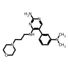 CN(C)c1cccc(-c2cnc(N)nc2NCCCN2CCOCC2)c1